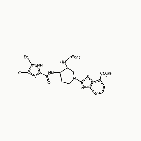 CCCCCNC1CN(c2nc3cccc(C(=O)OCC)c3s2)CCC1NC(=O)c1nc(Cl)c(CC)[nH]1